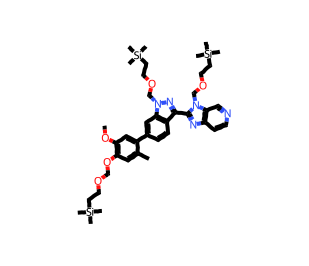 COc1cc(-c2ccc3c(-c4nc5ccncc5n4COCC[Si](C)(C)C)nn(COCC[Si](C)(C)C)c3c2)c(C)cc1OCOCC[Si](C)(C)C